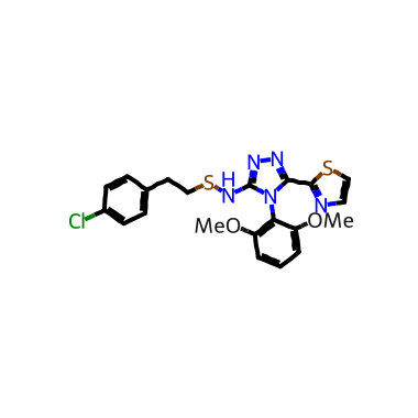 COc1cccc(OC)c1-n1c(NSCCc2ccc(Cl)cc2)nnc1-c1nccs1